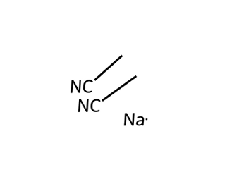 CC#N.CC#N.[Na]